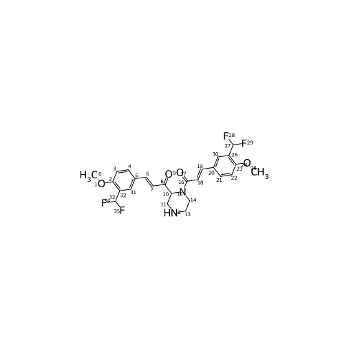 COc1ccc(C=CC(=O)C2CNCCN2C(=O)C=Cc2ccc(OC)c(C(F)F)c2)cc1C(F)F